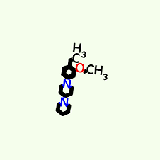 CCOc1cc(N2CCC(N3CCCCC3)CC2)ccc1CC